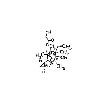 C=C[C@]1(C)C[C@@H](OC(=O)CO)[C@]2(C)C(C)CC[C@]3(C[C@H]4C[C@H]4C32)[C@@H](C)[C@@H]1O